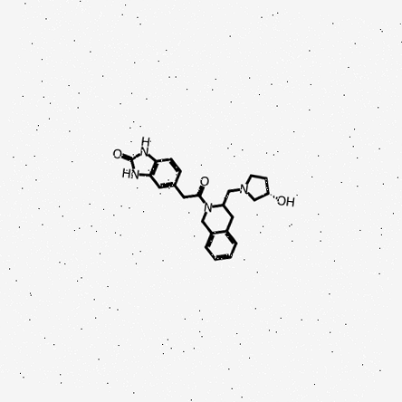 O=C(Cc1ccc2[nH]c(=O)[nH]c2c1)N1Cc2ccccc2CC1CN1CC[C@H](O)C1